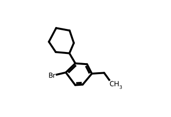 CCc1ccc(Br)c(C2CCCCC2)c1